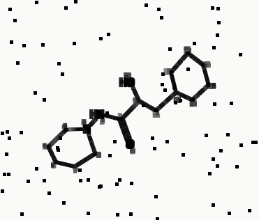 O=C(NN1CCCCC1)C(O)CC1CCCCC1